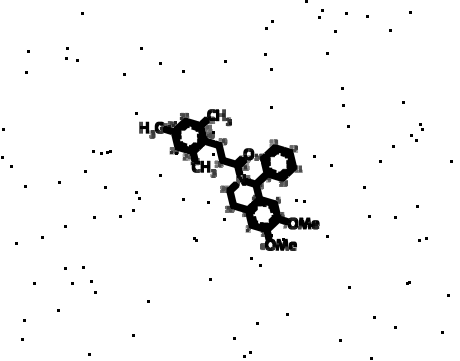 COc1cc2c(cc1OC)C(c1ccccc1)N(C(=O)CCc1c(C)cc(C)cc1C)CC2